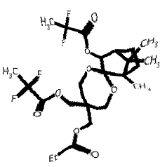 CCC(=O)OCC1(COC(=O)C(C)(F)F)COC2(OC1)C(OC(=O)C(C)(F)F)C1CCC2(C)C1(C)C